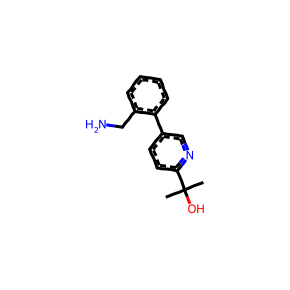 CC(C)(O)c1ccc(-c2ccccc2CN)cn1